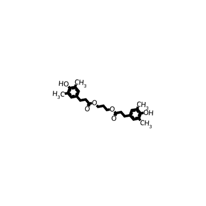 Cc1cc(CCC(=O)OCCCOC(=O)CCc2cc(C)c(O)c(C)c2)cc(C)c1O